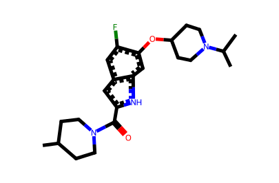 CC1CCN(C(=O)c2cc3cc(F)c(OC4CCN(C(C)C)CC4)cc3[nH]2)CC1